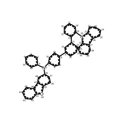 c1ccc(N(c2ccc(-c3cccc(-c4ccccc4-n4c5ccccc5c5ccccc54)c3)cc2)c2ccc3oc4ccccc4c3c2)cc1